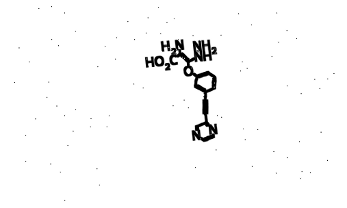 NN/C(Oc1cccc(C#Cc2cnccn2)c1)=C(\N)C(=O)O